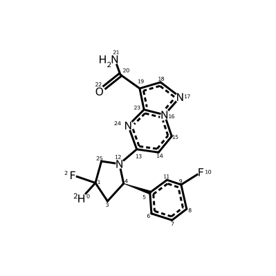 [2H]C1(F)C[C@H](c2cccc(F)c2)N(c2ccn3ncc(C(N)=O)c3n2)C1